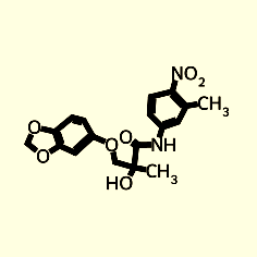 Cc1cc(NC(=O)C(C)(O)COc2ccc3c(c2)OCO3)ccc1[N+](=O)[O-]